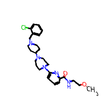 COCCNC(=O)c1cccc(N2CCCN(C3CCN(Cc4ccccc4Cl)CC3)CC2)n1